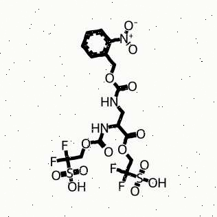 O=C(NCC(NC(=O)OCC(F)(F)S(=O)(=O)O)C(=O)OCC(F)(F)S(=O)(=O)O)OCc1ccccc1[N+](=O)[O-]